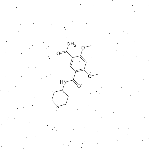 COc1cc(OC)c(C(=O)NC2CCSCC2)cc1C(N)=O